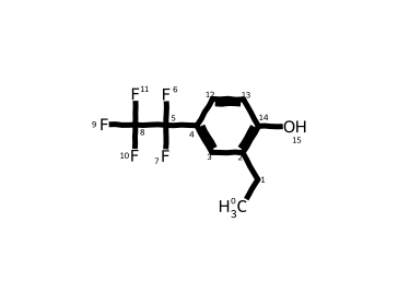 CCc1cc(C(F)(F)C(F)(F)F)ccc1O